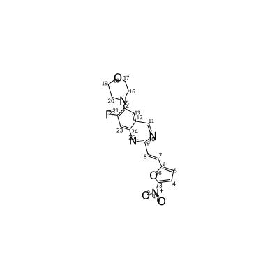 O=[N+]([O-])c1ccc(/C=C/c2ncc3cc(N4CCOCC4)c(F)cc3n2)o1